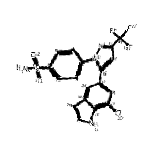 NS(=O)(=O)c1ccc(-n2nc(C(F)(F)F)cc2-c2cc(Cl)c3[nH]ccc3c2)cc1